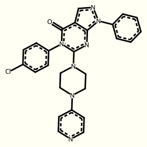 O=c1c2cnn(-c3ccccc3)c2nc(N2CCN(c3ccncc3)CC2)n1-c1ccc(Cl)cc1